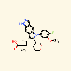 COc1cc(-n2c(C3CCCOC3)c([C@H]3C[C@](C)(C(=O)O)C3)c3cc4[nH]ncc4cc32)ccc1F